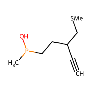 C#CC(CCP(C)O)CSC